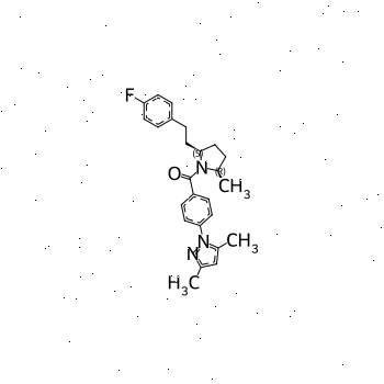 Cc1cc(C)n(-c2ccc(C(=O)N3[C@@H](CCc4ccc(F)cc4)CC[C@H]3C)cc2)n1